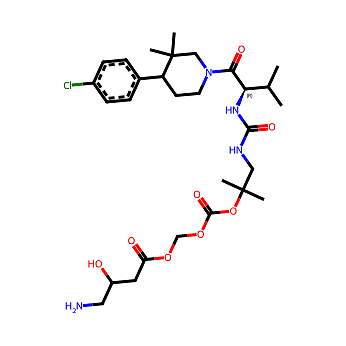 CC(C)[C@@H](NC(=O)NCC(C)(C)OC(=O)OCOC(=O)CC(O)CN)C(=O)N1CCC(c2ccc(Cl)cc2)C(C)(C)C1